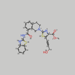 COC(=O)c1nc(N2CCc3cccc(C(=O)Nc4nc5ccccc5s4)c3C2)sc1C#CCO